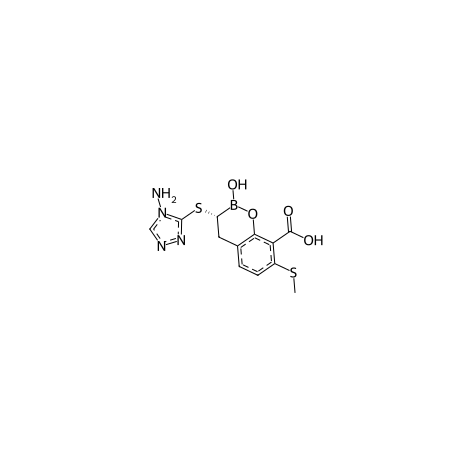 CSc1ccc2c(c1C(=O)O)OB(O)[C@@H](Sc1nncn1N)C2